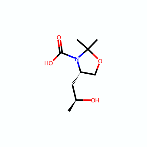 C[C@H](O)C[C@H]1COC(C)(C)N1C(=O)O